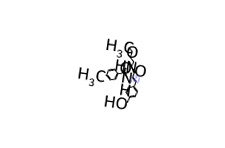 COCCNC(=O)/C(=C/c1ccc(CO)cc1)NC(=O)c1ccc(C)cc1